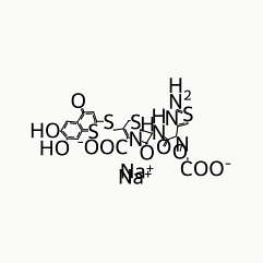 Nc1nc(/C(=N/OCC(=O)[O-])C(=O)N[C@@H]2C(=O)N3C(C(=O)[O-])=C(CSc4cc(=O)c5cc(O)c(O)cc5s4)CS[C@@H]23)cs1.[Na+].[Na+]